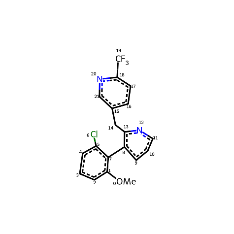 COc1cccc(Cl)c1-c1cccnc1Cc1ccc(C(F)(F)F)nc1